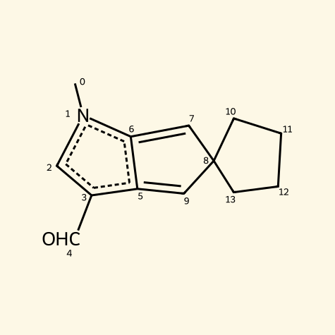 Cn1cc(C=O)c2c1=CC1(C=2)CCCC1